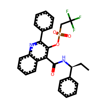 CC[C@H](NC(=O)c1c(OS(=O)(=O)CC(F)(F)F)c(-c2ccccc2)nc2ccccc12)c1ccccc1